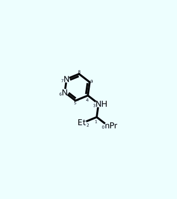 CCCC(CC)Nc1[c]nncc1